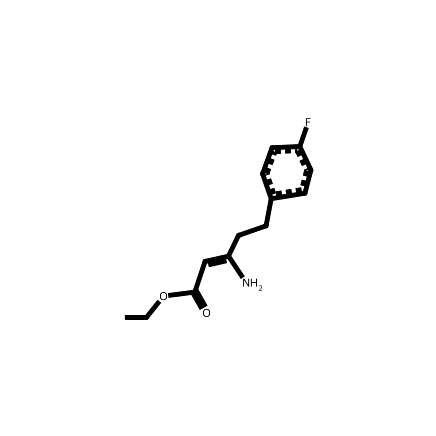 CCOC(=O)/C=C(\N)CCc1ccc(F)cc1